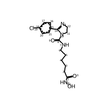 O=C(CCCCCNC(=O)N1CCN=C1c1ccc(Cl)cc1)NO